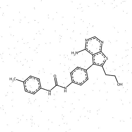 Cc1ccc(NC(=O)Nc2ccc(-c3c(CCO)sc4ncnc(N)c34)cc2)cc1